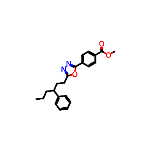 CCCC(CCc1nnc(-c2ccc(C(=O)OC)cc2)o1)c1ccccc1